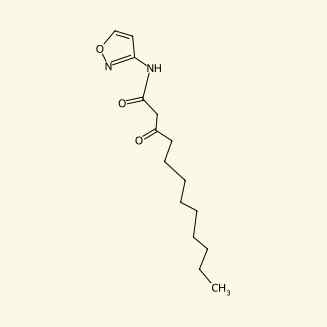 CCCCCCCCCC(=O)CC(=O)Nc1ccon1